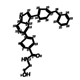 O=C(NCCO)c1ccc(-c2cn3c(-c4ccc(Cc5ccccc5)cc4)cnc3cn2)cc1